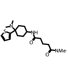 C[N]C(=O)CCCC(=O)NC1CCC(c2cccs2)(N(C)C)CC1